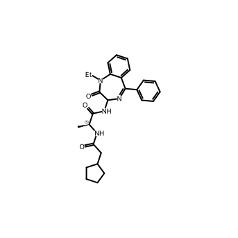 CCN1C(=O)C(NC(=O)[C@H](C)NC(=O)CC2CCCC2)N=C(c2ccccc2)c2ccccc21